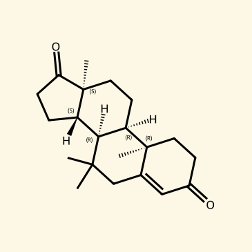 CC1(C)CC2=CC(=O)CC[C@]2(C)[C@@H]2CC[C@]3(C)C(=O)CC[C@H]3[C@@H]21